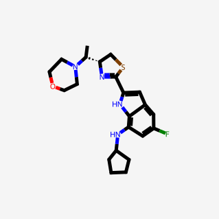 CC([C@@H]1CSC(c2cc3cc(F)cc(NC4CCCC4)c3[nH]2)=N1)N1CCOCC1